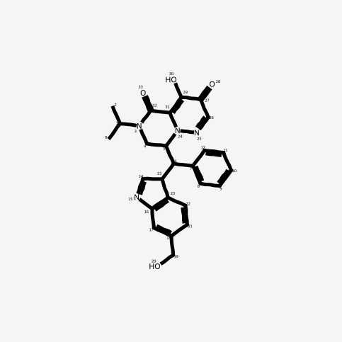 CC(C)N1CC(C(c2ccccc2)C2C=Nc3cc(CO)ccc32)n2ncc(=O)c(O)c2C1=O